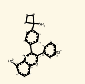 Cl.NC1(c2ccc(-c3nc4c(O)cccc4nc3-c3ccccc3)cc2)CCC1